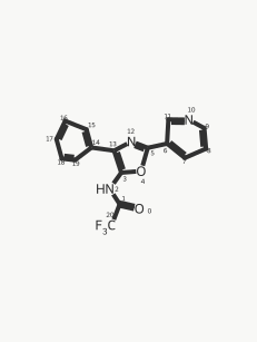 O=C(Nc1oc(-c2cccnc2)nc1-c1ccccc1)C(F)(F)F